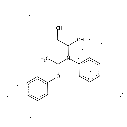 CCC(O)N(c1ccccc1)C(C)Oc1ccccc1